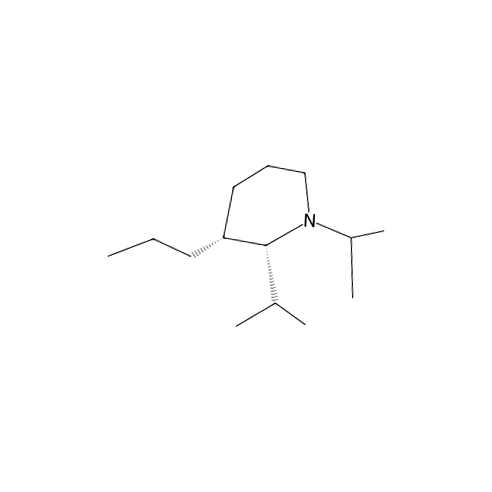 CCC[C@@H]1CCCN(C(C)C)[C@@H]1C(C)C